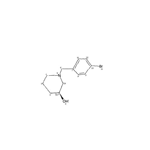 O[C@H]1CCCN(Cc2ccc(Br)cc2)C1